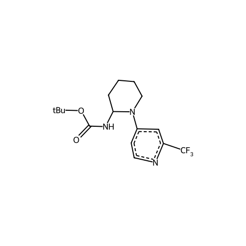 CC(C)(C)OC(=O)NC1CCCCN1c1ccnc(C(F)(F)F)c1